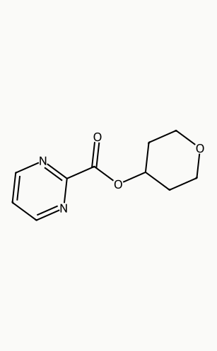 O=C(OC1CCOCC1)c1ncccn1